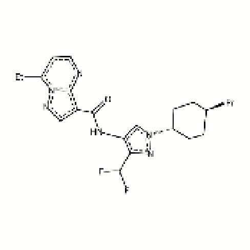 CCc1ccnc2c(C(=O)Nc3cn([C@H]4CC[C@H](C(C)C)CC4)nc3C(F)F)cnn12